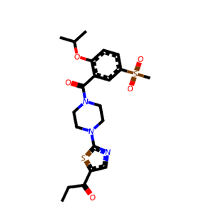 CCC(=O)c1cnc(N2CCN(C(=O)c3cc(S(C)(=O)=O)ccc3OC(C)C)CC2)s1